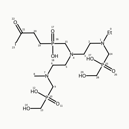 CCN(CCN(CCN(C)CP(=O)(O)CO)CP(=O)(O)CCC(=O)I)CP(=O)(O)CO